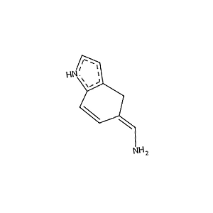 NC=C1C=Cc2[nH]ccc2C1